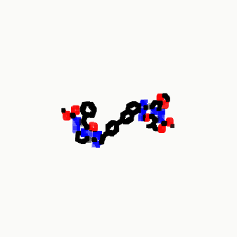 COC(=O)N[C@H](C(=O)N1CC2(C[C@H]1c1nc3ccc4cc(-c5ccc(-c6cnc([C@@H]7CCCN7C(=O)[C@H](NC(=O)OC)c7ccccc7)[nH]6)cc5)ccc4c3[nH]1)OCCO2)C(C)C